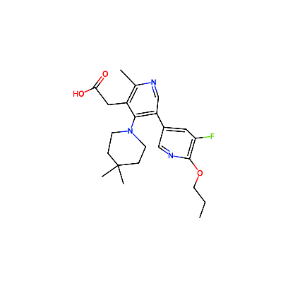 CCCOc1ncc(-c2cnc(C)c(CC(=O)O)c2N2CCC(C)(C)CC2)cc1F